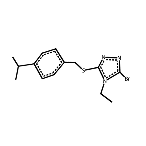 CCn1c(Br)nnc1SCc1ccc(C(C)C)cc1